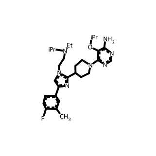 CCN(CCn1cc(-c2ccc(F)c(C)c2)nc1C1CCN(c2ncnc(N)c2OC(C)C)CC1)C(C)C